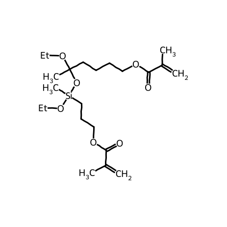 C=C(C)C(=O)OCCCCC(C)(OCC)O[Si](C)(CCCOC(=O)C(=C)C)OCC